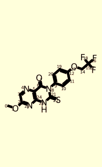 COc1cnc2c(=O)n(-c3ccc(OCC(F)(F)F)cc3)c(=S)[nH]c2n1